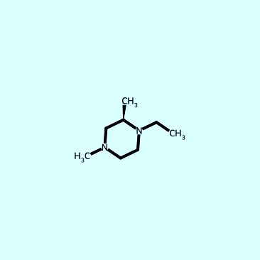 CCN1CCN(C)C[C@H]1C